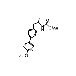 COC(=O)NC(C)Cc1ccc(-c2cnc(OC(C)C)nc2)cc1